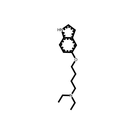 CCN(CC)CCCCOc1ccc2[nH]ccc2c1